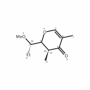 CC[C@H](OC)C1OC=C(C)C(=O)[C@H]1C